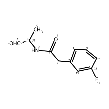 C[C@@H]([C]=O)NC(=O)Cc1cccc(F)c1